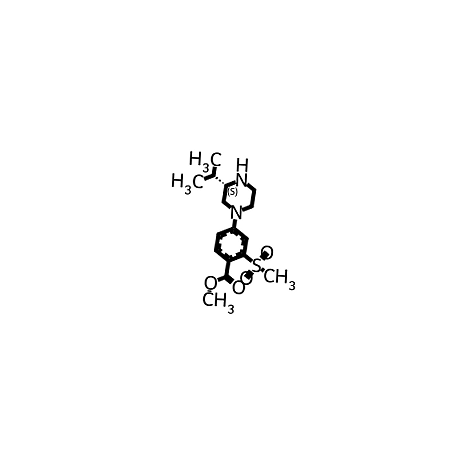 COC(=O)c1ccc(N2CCN[C@@H](C(C)C)C2)cc1S(C)(=O)=O